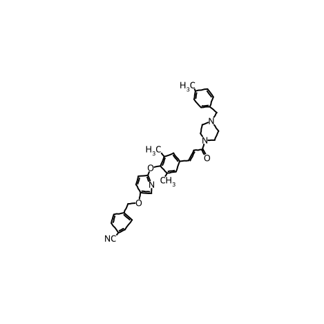 Cc1ccc(CN2CCN(C(=O)/C=C/c3cc(C)c(Oc4ccc(OCc5ccc(C#N)cc5)cn4)c(C)c3)CC2)cc1